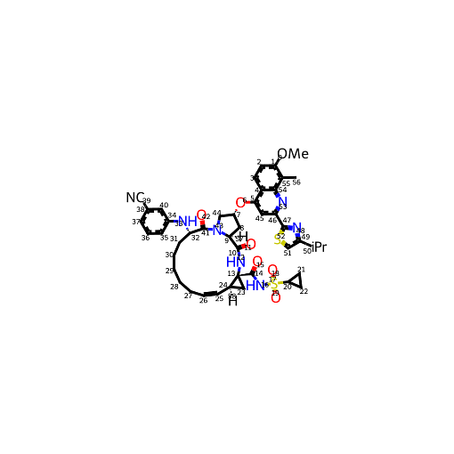 COc1ccc2c(O[C@@H]3C[C@H]4C(=O)N[C@]5(C(=O)NS(=O)(=O)C6CC6)C[C@H]5/C=C\CCCCC[C@H](Nc5cccc(C#N)c5)C(=O)N4C3)cc(-c3nc(C(C)C)cs3)nc2c1C